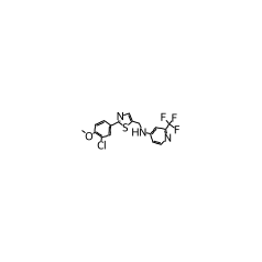 COc1ccc(-c2ncc(CNc3ccnc(C(F)(F)F)c3)s2)cc1Cl